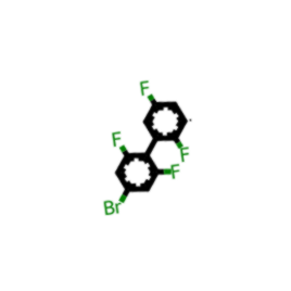 Fc1c[c]c(F)c(-c2c(F)cc(Br)cc2F)c1